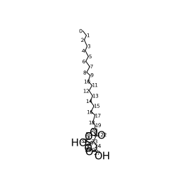 CCCCCCCCCCCCCCCCCCCCOC(=O)C(CC(=O)O)S(=O)(=O)O